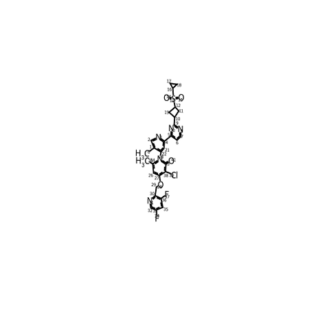 Cc1cnc(-c2ccnc(C3CC(S(=O)(=O)C4CC4)C3)n2)cc1-n1c(C)cc(OCc2ncc(F)cc2F)c(Cl)c1=O